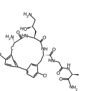 C[C@H](NC(=O)CNC(=O)[C@@H]1Cc2cc(ccc2Cl)-c2ccc(O)c(c2)C[C@H](N)C(=O)N[C@@H](C[C@@H](O)CN)C(=O)N1)C(N)=O